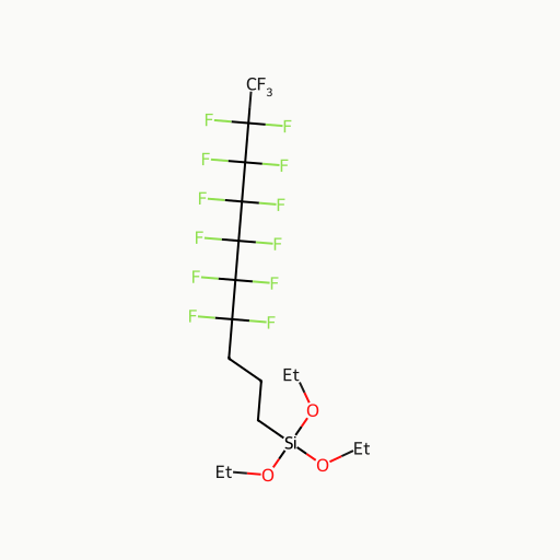 CCO[Si](CCCC(F)(F)C(F)(F)C(F)(F)C(F)(F)C(F)(F)C(F)(F)C(F)(F)F)(OCC)OCC